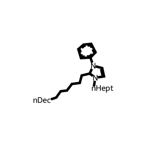 CCCCCCCCCCCCCCCCC1N(CCCCCCC)C=CN1c1ccccc1